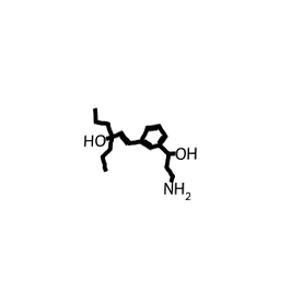 CCCC(O)(/C=C/c1cccc(C(O)CCN)c1)CCC